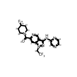 O=C(c1cc2c(cn1)c(Nc1cnccn1)nn2CC(F)(F)F)N1CCC(F)CC1